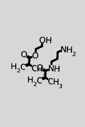 C=C(C)C(=O)NCCCN.C=C(C)C(=O)OCCO